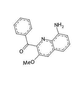 COc1cc2cccc(N)c2nc1C(=O)c1ccccc1